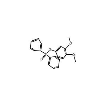 COc1ccc(OP(=O)(c2ccccc2)c2ccccc2)cc1OC